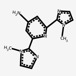 Cn1ccnc1-c1cc(N)cc(-c2nccn2C)n1